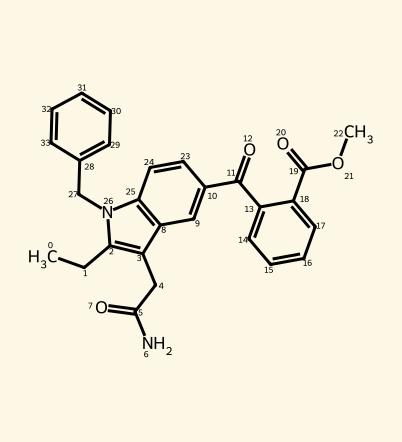 CCc1c(CC(N)=O)c2cc(C(=O)c3ccccc3C(=O)OC)ccc2n1Cc1ccccc1